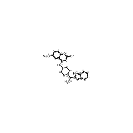 COc1ccc2oc(=O)cc(NC3CCN(C(C)c4cc5ccccc5[nH]4)CC3)c2c1